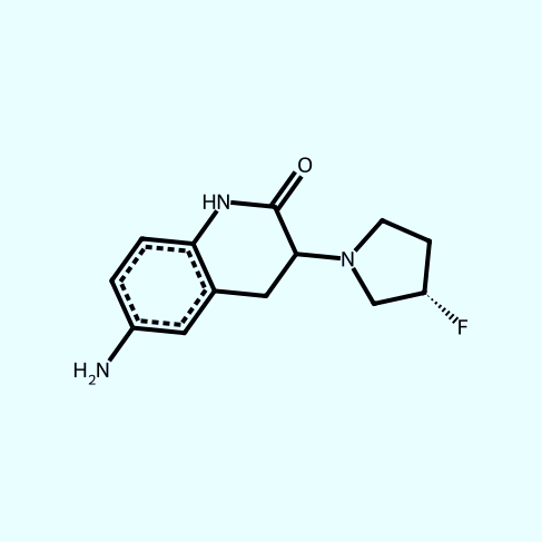 Nc1ccc2c(c1)CC(N1CC[C@H](F)C1)C(=O)N2